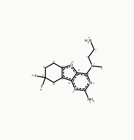 CN(CCN)c1nc(N)nc2c3c(oc12)CCC(F)(F)C3